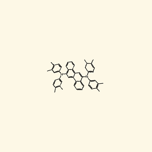 CC1=CC=C(N(c2ccc(C)c(C)c2)c2cc3c4ccccc4c(N(c4ccc(C)c(C)c4)c4ccc(C)c(C)c4)cc3c3ccccc23)CC1C